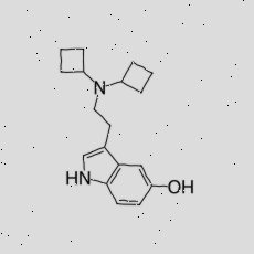 Oc1ccc2[nH]cc(CCN(C3CCC3)C3CCC3)c2c1